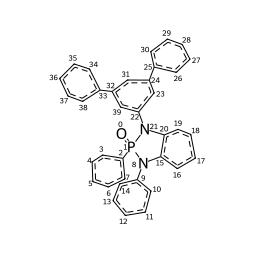 O=P1(c2ccccc2)N(c2ccccc2)c2ccccc2N1c1cc(-c2ccccc2)cc(-c2ccccc2)c1